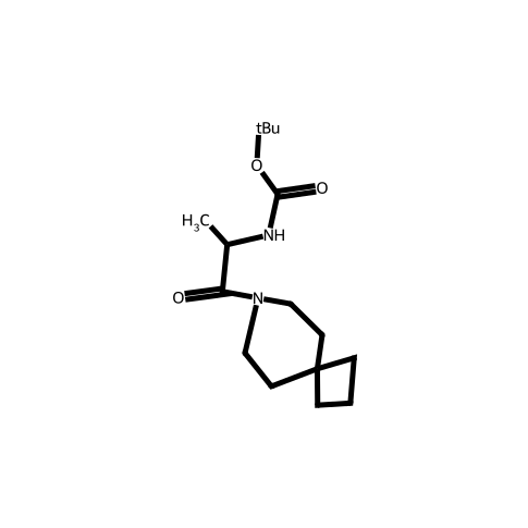 CC(NC(=O)OC(C)(C)C)C(=O)N1CCC2(CCC2)CC1